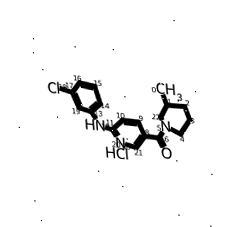 CC1CCCN(C(=O)c2ccc(Nc3cccc(Cl)c3)nc2)C1.Cl